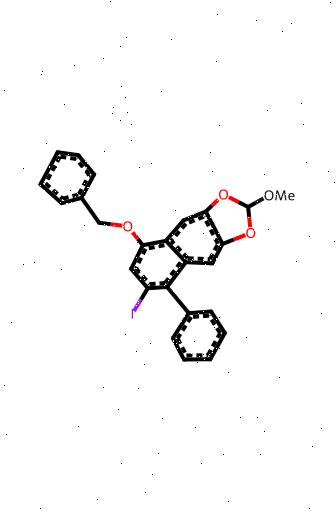 COC1Oc2cc3c(OCc4ccccc4)cc(I)c(-c4ccccc4)c3cc2O1